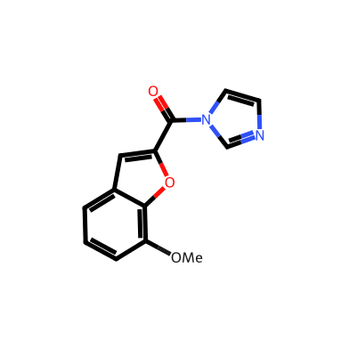 COc1cccc2cc(C(=O)n3ccnc3)oc12